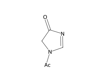 CC(=O)N1C=NC(=O)C1